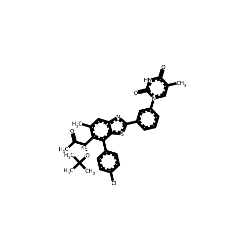 CC(=O)[C@@H](OC(C)(C)C)c1c(C)cc2nc(-c3cccc(-n4cc(C)c(=O)[nH]c4=O)c3)sc2c1-c1ccc(Cl)cc1